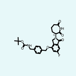 CC(C)(C)OC(=O)NCc1ccc(COc2cc(F)cc3c2CN([C@H]2CCCC(=O)NC2=O)C3=O)cc1